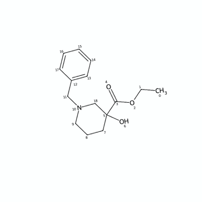 CCOC(=O)C1(O)CCCN(Cc2ccccc2)C1